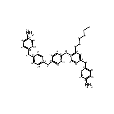 CCCCCCc1cc(Cc2ccc(N)cc2)ccc1Cc1ccc(Cc2ccc(Cc3ccc(N)cc3)cc2)cc1